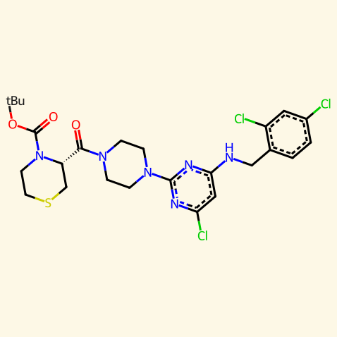 CC(C)(C)OC(=O)N1CCSC[C@H]1C(=O)N1CCN(c2nc(Cl)cc(NCc3ccc(Cl)cc3Cl)n2)CC1